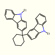 CCn1c2ccccc2c2cc(C3(c4ccc5c(c4)c4ccccc4n5CC)CCCCC3)ccc21